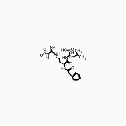 CC(C)C[C@H](NC(=O)[C@H](CCCNC(=N)N[N+](=O)[O-])NC(=O)Cc1ccccc1)B(O)O